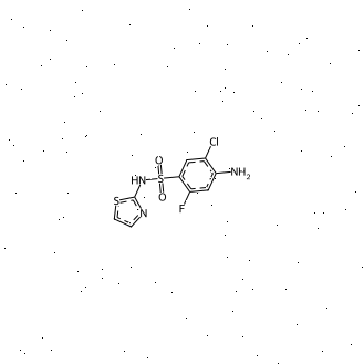 Nc1cc(F)c(S(=O)(=O)Nc2nccs2)cc1Cl